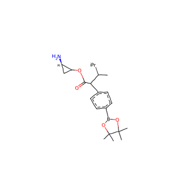 CC(C)C(C)C(C(=O)OC1C[C@H]1N)c1ccc(B2OC(C)(C)C(C)(C)O2)cc1